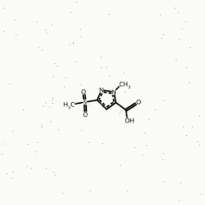 Cn1nc(S(C)(=O)=O)cc1C(=O)O